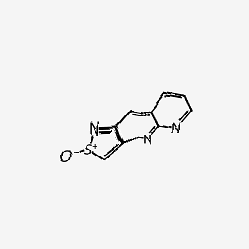 [O-][s+]1cc2nc3ncccc3cc2n1